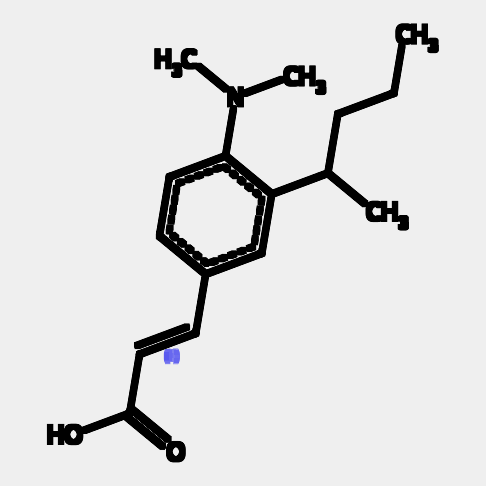 CCCC(C)c1cc(/C=C/C(=O)O)ccc1N(C)C